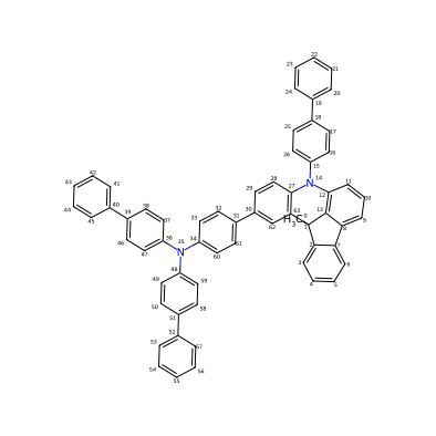 CC12c3ccccc3-c3cccc(c31)N(c1ccc(-c3ccccc3)cc1)c1ccc(-c3ccc(N(c4ccc(-c5ccccc5)cc4)c4ccc(-c5ccccc5)cc4)cc3)cc12